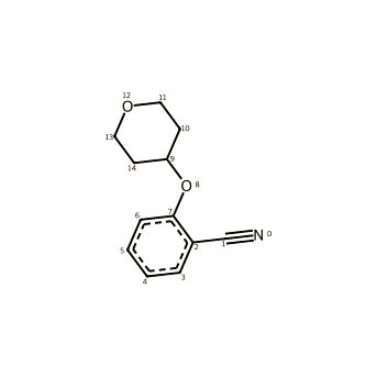 N#Cc1ccccc1OC1CCOCC1